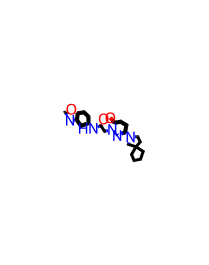 O=C(Cn1nc(N2CCC3(CCCC3)C2)ccc1=O)Nc1ccc2ocnc2c1